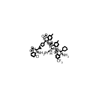 Cc1ccc2c(c1)S(=O)(=O)N=C(C1CCCC1)N2N.Cc1ccc2c(c1)S(=O)(=O)N=C(NCC(C)C)N2.NN1C(C2CC2)=NS(=O)(=O)c2cccc(Cl)c21.NN1C(C2CCCCC2)=NS(=O)(=O)c2ccc(C(F)(F)F)cc21